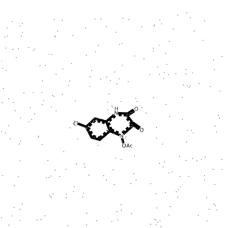 CC(=O)On1c(=O)c(=O)[nH]c2cc(Cl)ccc21